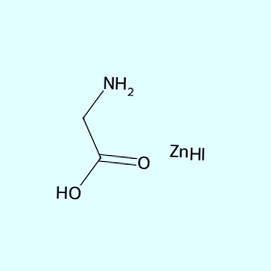 I.NCC(=O)O.[Zn]